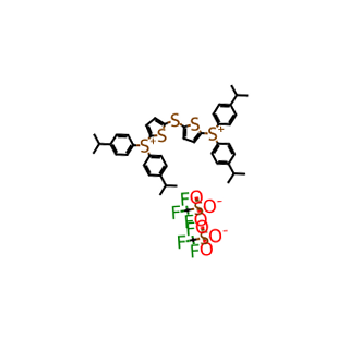 CC(C)c1ccc([S+](c2ccc(C(C)C)cc2)c2ccc(Sc3ccc([S+](c4ccc(C(C)C)cc4)c4ccc(C(C)C)cc4)s3)s2)cc1.O=S(=O)([O-])C(F)(F)F.O=S(=O)([O-])C(F)(F)F